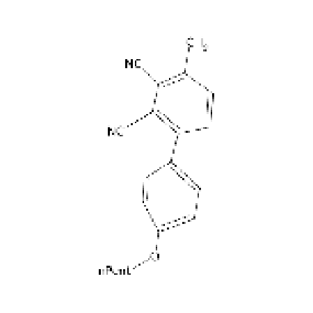 CCCCCOc1ccc(-c2ccc(C)c(C#N)c2C#N)cc1